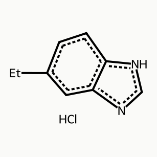 CCc1ccc2[nH]cnc2c1.Cl